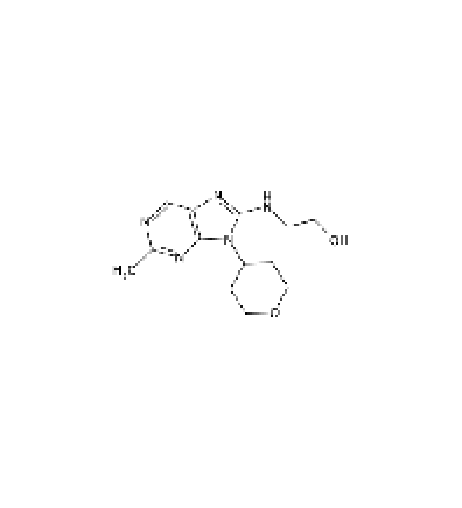 Cc1ncc2nc(NCCO)n(C3CCOCC3)c2n1